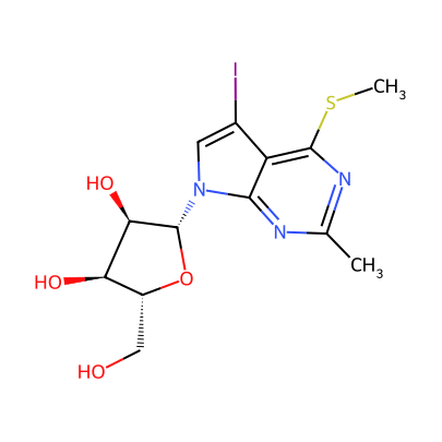 CSc1nc(C)nc2c1c(I)cn2[C@@H]1O[C@H](CO)[C@@H](O)[C@H]1O